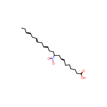 CCC=CCC=CCC=CCCC(CC=CCCCCCC(=O)O)[N+](=O)[O-]